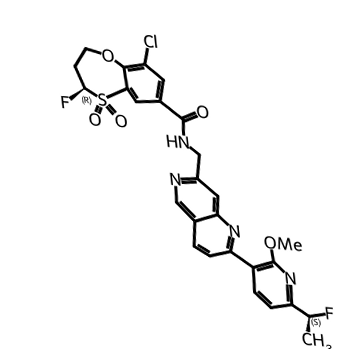 COc1nc([C@H](C)F)ccc1-c1ccc2cnc(CNC(=O)c3cc(Cl)c4c(c3)S(=O)(=O)[C@@H](F)CCO4)cc2n1